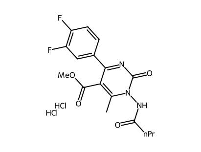 CCCC(=O)Nn1c(C)c(C(=O)OC)c(-c2ccc(F)c(F)c2)nc1=O.Cl.Cl